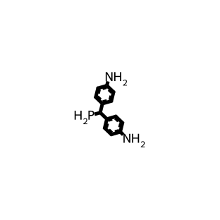 Nc1ccc(C(P)c2ccc(N)cc2)cc1